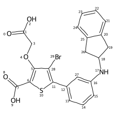 O=C(O)COc1c(C(=O)O)sc(-c2cccc(NC3Cc4ccccc4C3)c2)c1Br